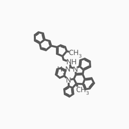 CC1C=CC(c2ccc3ccccc3c2)=CC1CNC(N)n1c2c(c3ccccc31)-c1ccccc1C1(C)c3ccccc3N(C3C=CC=CC3)C21